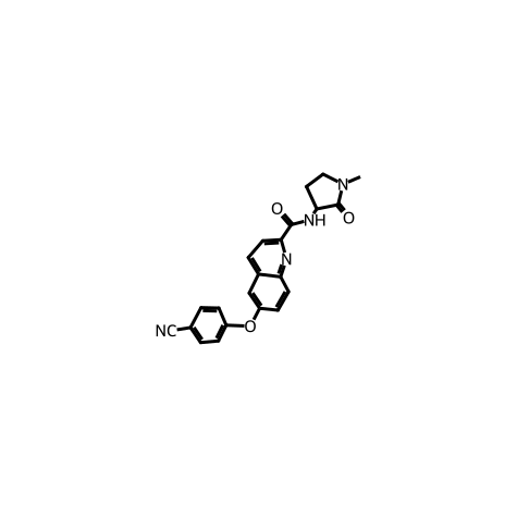 CN1CCC(NC(=O)c2ccc3cc(Oc4ccc(C#N)cc4)ccc3n2)C1=O